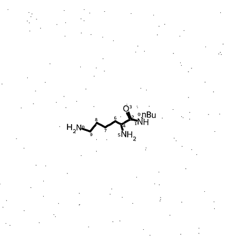 CCCCNC(=O)C(N)CCCCN